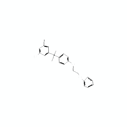 CCc1cc(C)cc(C(C)(C)c2ccc(OCCOc3ccccc3)cc2)c1